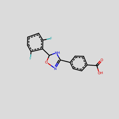 O=C(O)c1ccc(C2=NOC(c3c(F)cccc3F)N2)cc1